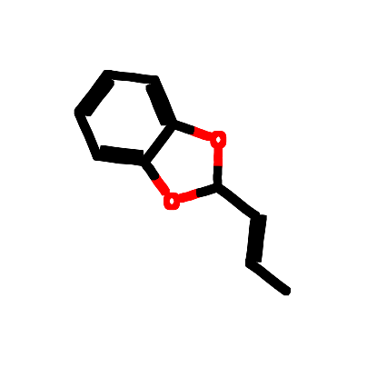 CC=CC1Oc2ccccc2O1